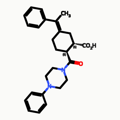 CC(=C1CC[C@H](C(=O)N2CCN(c3ccccc3)CC2)[C@@H](C(=O)O)C1)c1ccccc1